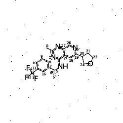 Cc1nc(N[C@H](C)c2cccc(C(F)(F)F)c2)c2cc(C3CCOC3)ncc2n1